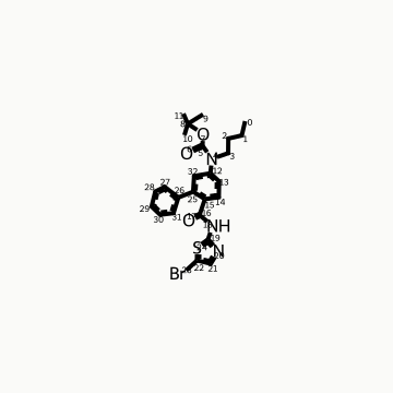 CCCCN(C(=O)OC(C)(C)C)c1ccc(C(=O)Nc2ncc(Br)s2)c(-c2ccccc2)c1